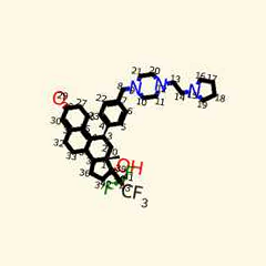 C[C@]12C[C@H](c3ccc(CN4CCN(CCN5CCCC5)CC4)cc3)C3=C4CCC(=O)C=C4CCC3C1CC[C@@]2(O)C(F)(F)C(F)(F)F